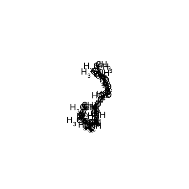 COC(=O)[C@H](CCC(C)(C)C)NC(=O)c1ccc(Oc2cccc(OC3CN(C(=O)NCC(O)COCCOCc4cn(CC(=O)NCCCn5nccc5C(=O)N[C@H](C(=O)Nc5ccc(-c6c(C)nn(COCC[Si](C)(C)C)c6C)cc5)C(C5CC5)C5CC5)nn4)C3)c2)nc1